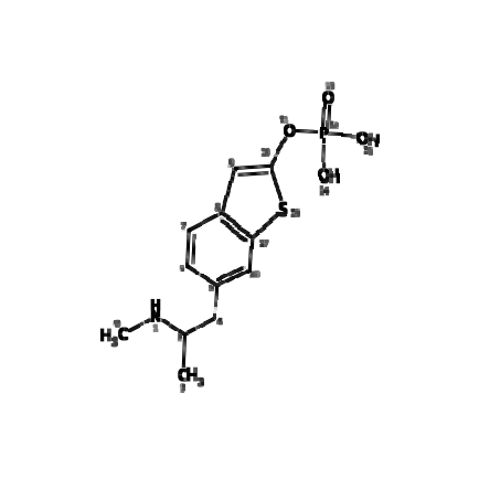 CNC(C)Cc1ccc2cc(OP(=O)(O)O)sc2c1